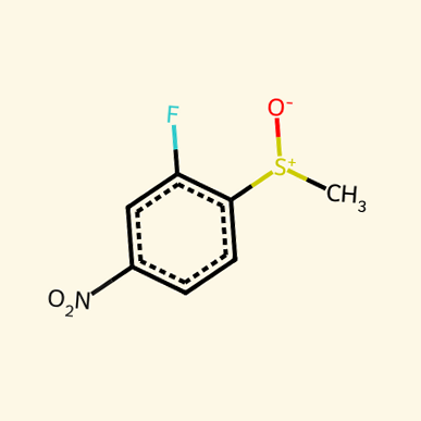 C[S+]([O-])c1ccc([N+](=O)[O-])cc1F